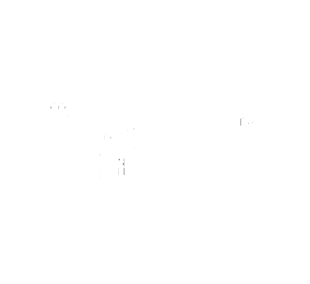 CCCCCCCCCCCCCCCC(=O)NS(=O)(=O)CCCC(=O)O